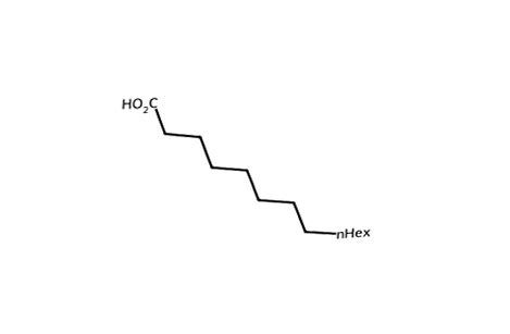 [CH2]CCCCCCCCCCCCC(=O)O